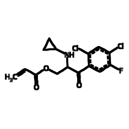 C=CC(=O)OCC(NC1CC1)C(=O)c1cc(F)c(Cl)cc1Cl